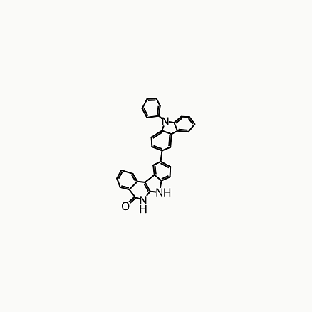 O=c1[nH]c2[nH]c3ccc(-c4ccc5c(c4)c4ccccc4n5-c4ccccc4)cc3c2c2ccccc12